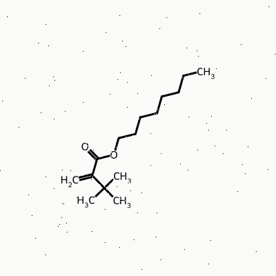 C=C(C(=O)OCCCCCCCC)C(C)(C)C